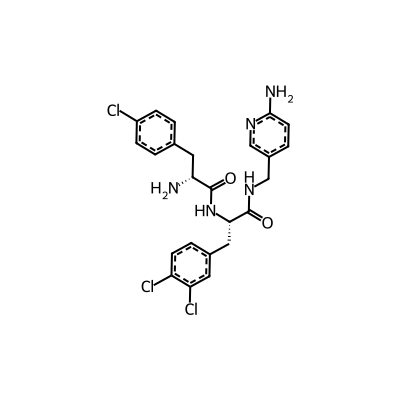 Nc1ccc(CNC(=O)[C@H](Cc2ccc(Cl)c(Cl)c2)NC(=O)[C@H](N)Cc2ccc(Cl)cc2)cn1